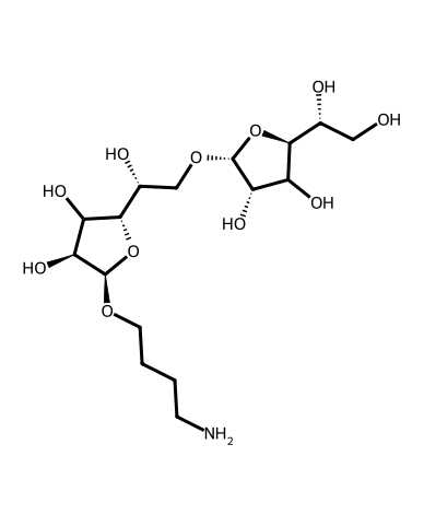 NCCCCO[C@@H]1O[C@@H]([C@H](O)CO[C@@H]2O[C@@H]([C@H](O)CO)C(O)[C@@H]2O)C(O)[C@@H]1O